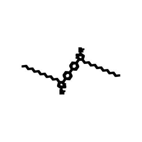 CCCCCCCCCCCCc1cc(Br)sc1-c1ccc(-c2ccc(-c3sc(Br)cc3CCCCCCCCCCCC)cc2)cc1